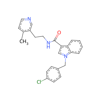 Cc1ccncc1CCNC(=O)c1cn(Cc2ccc(Cl)cc2)c2ccccc12